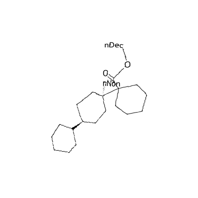 CCCCCCCCCCOC(=O)C1([C@]2(CCCCCCCCC)CC[C@H](C3CCCCC3)CC2)CCCCC1